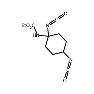 CCOC(=O)NC1(N=C=O)CCC(N=C=O)CC1